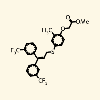 COC(=O)COc1ccc(SCC=C(c2cccc(C(F)(F)F)c2)c2cccc(C(F)(F)F)c2)cc1C